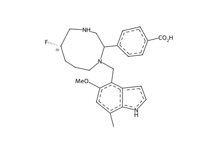 COc1cc(C)c2[nH]ccc2c1CN1CCC[C@H](F)CNCC1c1ccc(C(=O)O)cc1